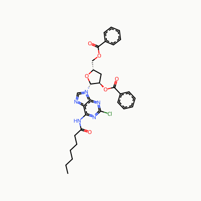 CCCCCCC(=O)Nc1nc(Cl)nc2c1ncn2[C@@H]1O[C@H](COC(=O)c2ccccc2)C[C@H]1OC(=O)c1ccccc1